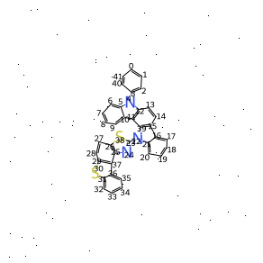 c1ccc(-n2c3ccccc3c3c2ccc2c4ccccc4n(-c4nc5c(ccc6sc7ccccc7c65)s4)c23)cc1